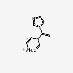 C=CN(/C=C\N)C(=S)n1ccnc1